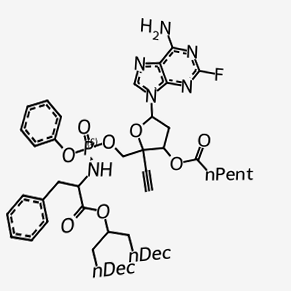 C#CC1(CO[P@@](=O)(NC(Cc2ccccc2)C(=O)OC(CCCCCCCCCCC)CCCCCCCCCCC)Oc2ccccc2)OC(n2cnc3c(N)nc(F)nc32)CC1OC(=O)CCCCC